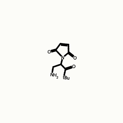 CC(C)(C)C(=O)C(CN)N1C(=O)C=CC1=O